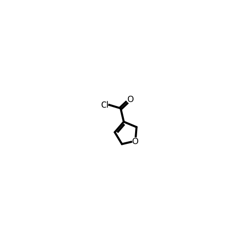 O=C(Cl)C1=CCOC1